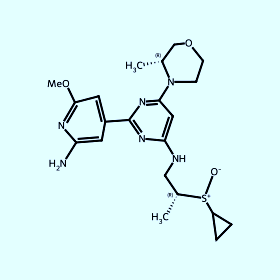 COc1cc(-c2nc(NC[C@@H](C)[S+]([O-])C3CC3)cc(N3CCOC[C@H]3C)n2)cc(N)n1